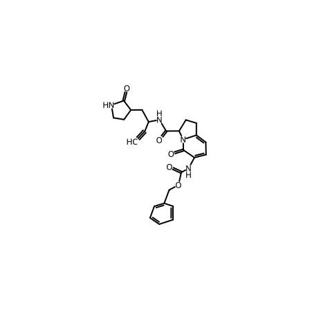 C#CC(CC1CCNC1=O)NC(=O)C1CCc2ccc(NC(=O)OCc3ccccc3)c(=O)n21